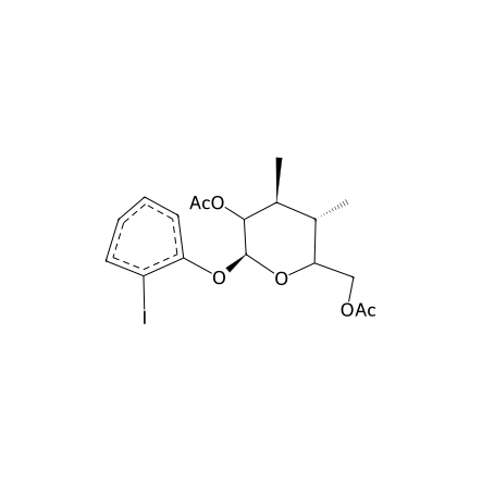 CC(=O)OCC1O[C@@H](Oc2ccccc2I)C(OC(C)=O)[C@@H](C)[C@@H]1C